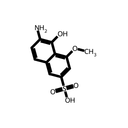 COc1cc(S(=O)(=O)O)cc2ccc(N)c(O)c12